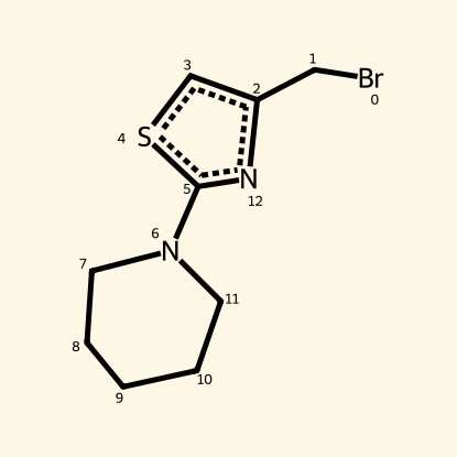 BrCc1csc(N2CCCCC2)n1